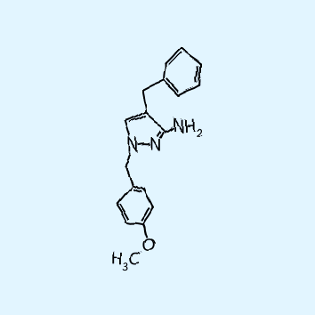 COc1ccc(Cn2cc(Cc3ccccc3)c(N)n2)cc1